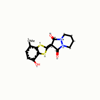 COc1ccc(O)c2c1SC(=C1C(=O)N3CCCCN3C1=O)S2